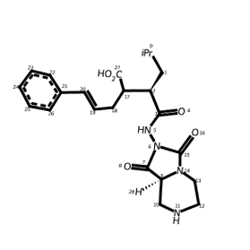 CC(C)C[C@@H](C(=O)NN1C(=O)[C@@H]2CNCCN2C1=O)C(C/C=C/c1ccccc1)C(=O)O